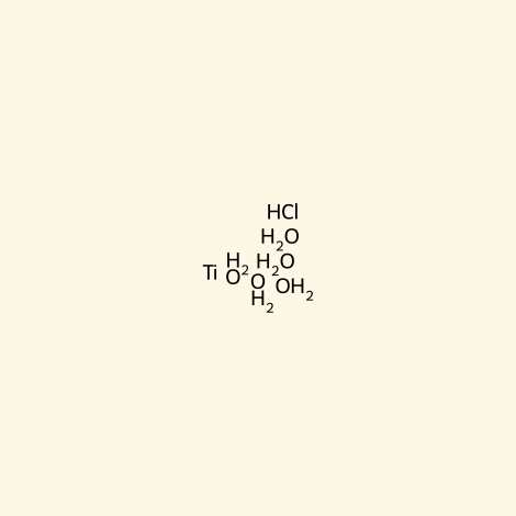 Cl.O.O.O.O.O.[Ti]